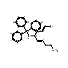 CCC/C=C/C(C/C=C/I)OC(c1ccccc1)(c1ccccc1)c1ccccc1